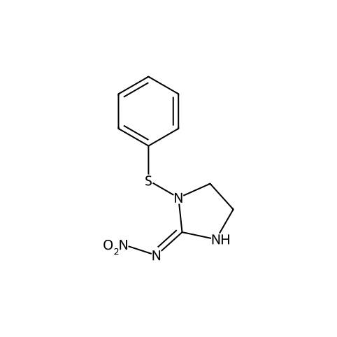 O=[N+]([O-])/N=C1/NCCN1Sc1ccccc1